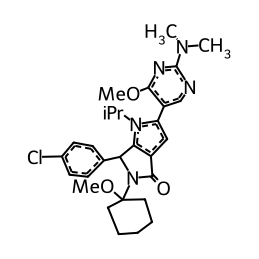 COc1nc(N(C)C)ncc1-c1cc2c(n1C(C)C)C(c1ccc(Cl)cc1)N(C1(OC)CCCCC1)C2=O